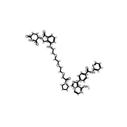 Nc1nccn2c([C@@H]3CCCN3C(=O)COCCOCCOCCNc3cccc4c3CN(C3CCC(=O)NC3=O)C4=O)nc(-c3ccc(C(=O)Nc4ccccn4)cc3)c12